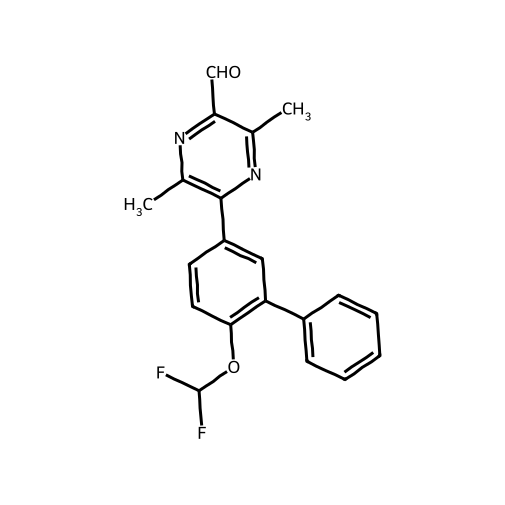 Cc1nc(-c2ccc(OC(F)F)c(-c3ccccc3)c2)c(C)nc1C=O